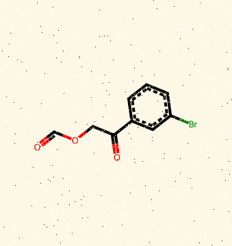 O=COCC(=O)c1cccc(Br)c1